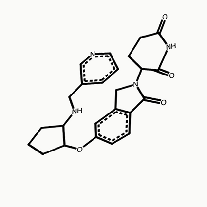 O=C1CCC(N2Cc3cc(OC4CCCC4NCc4cccnc4)ccc3C2=O)C(=O)N1